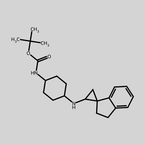 CC(C)(C)OC(=O)NC1CCC(NC2CC23CCc2ccccc23)CC1